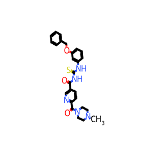 CN1CCN(C(=O)c2ccc(C(=O)NC(=S)Nc3cccc(OCc4ccccc4)c3)cn2)CC1